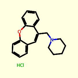 C1=C(CN2CCCCC2)c2ccccc2Oc2ccccc21.Cl